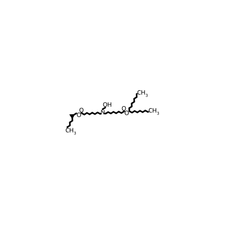 CCCCCCCCC(CCCCCCCC)OC(=O)CCCCCCCN(CCO)CCCCCCCC(=O)OCC1CC1CCCCC